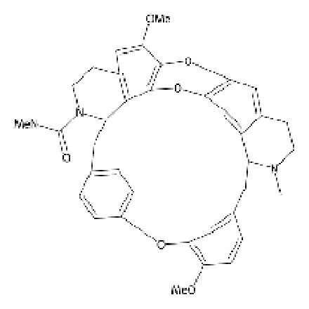 CNC(=O)N1CCc2cc(OC)c3c4c2C1Cc1ccc(cc1)Oc1cc(ccc1OC)CC1c2cc(c(cc2CCN1C)O3)O4